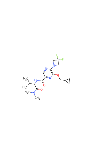 CC(C)C(NC(=O)c1cnc(N2CC(F)(F)C2)c(OCC2CC2)n1)C(=O)N(C)C